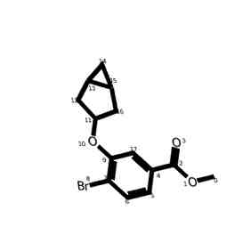 COC(=O)c1ccc(Br)c(OC2CC3CC3C2)c1